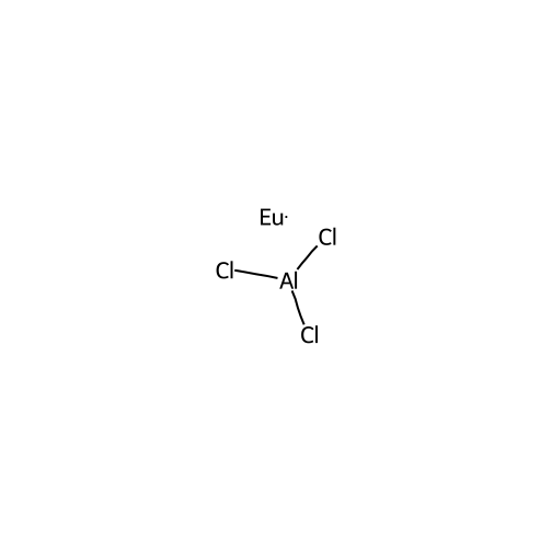 [Cl][Al]([Cl])[Cl].[Eu]